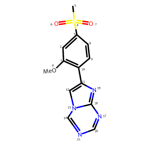 COc1cc(S(C)(=O)=O)ccc1-c1cn2cncnc2n1